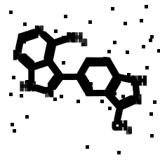 Cc1n[nH]c2ccc(-c3n[nH]c4ncnc(N)c34)cc12